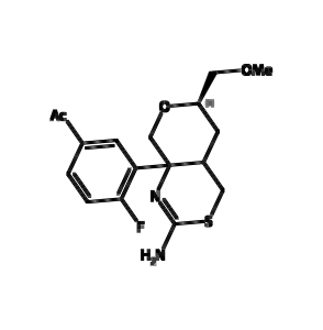 COC[C@H]1CC2CSC(N)=NC2(c2cc(C(C)=O)ccc2F)CO1